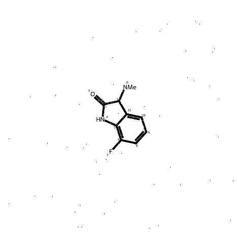 CNC1C(=O)Nc2c(F)cccc21